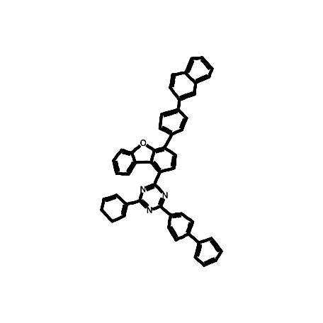 C1=CC(c2nc(-c3ccc(-c4ccccc4)cc3)nc(-c3ccc(-c4ccc(-c5ccc6ccccc6c5)cc4)c4oc5ccccc5c34)n2)=CCC1